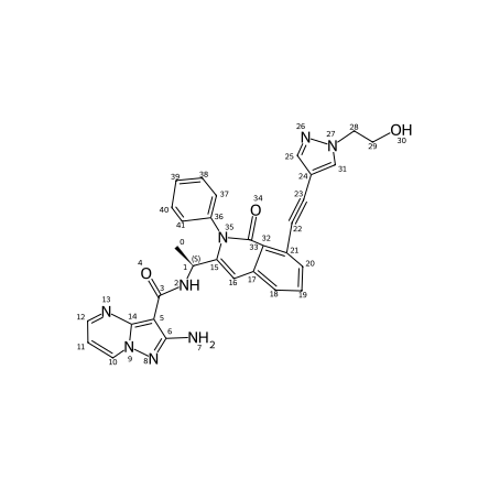 C[C@H](NC(=O)c1c(N)nn2cccnc12)c1cc2cccc(C#Cc3cnn(CCO)c3)c2c(=O)n1-c1ccccc1